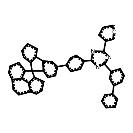 c1ccc(-c2cccc(-c3nc(-c4ccccc4)nc(-c4ccc(-c5ccc6c(c5)-c5ccccc5C65c6cccc7ccc8cccc5c8c67)cc4)n3)c2)cc1